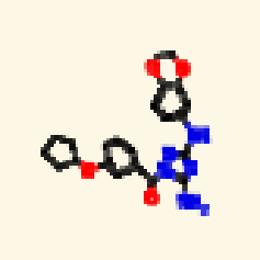 Nc1nc(Nc2ccc3c(c2)OCCO3)nn1C(=O)c1cccc(OC2CCCC2)c1